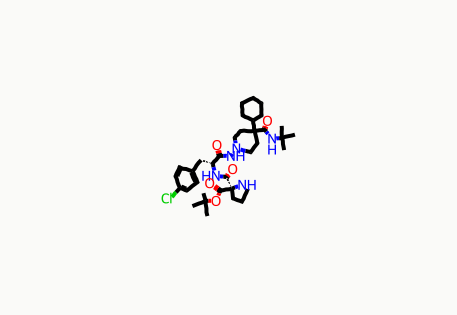 CC(C)(C)NC(=O)C1(C2CCCCC2)CCN(NC(=O)[C@@H](Cc2ccc(Cl)cc2)NC(=O)[C@@]2(C(=O)OC(C)(C)C)CCCN2)CC1